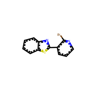 Brc1ncccc1-c1nc2ccccc2s1